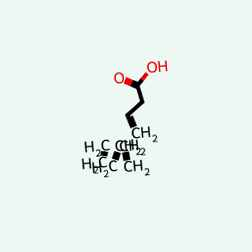 C=C.C=C.C=C.C=CCC(=O)O